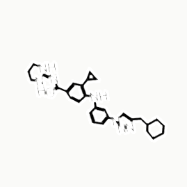 O=C(N=C1NCCCN1)c1ccc(Nc2cccc(-n3cc(CC4CCCCC4)nn3)c2)c(C2CC2)c1